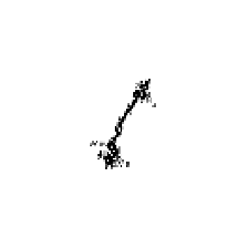 COc1cc(Nc2c(C#N)cnc3cc(OCCCN4CCN(CCOCCOCCOCCCc5cccc6c5n(C)c(=O)n6C5CCC(=O)NC5=O)CC4)c(OC)cc23)c(Cl)cc1Cl